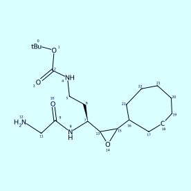 CC(C)(C)OC(=O)NCC[C@H](NC(=O)CN)C1OC1C1CCCCCCC1